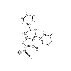 Cc1cccc(-c2nc(N3CCOCC3)nc3sc(C(N)=O)c(N)c23)n1